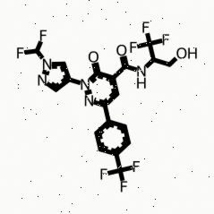 O=C(NC(CO)C(F)(F)F)c1cc(-c2ccc(C(F)(F)F)cc2)nn(-c2cnn(C(F)F)c2)c1=O